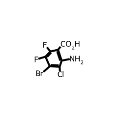 Nc1c(Cl)c(Br)c(F)c(F)c1C(=O)O